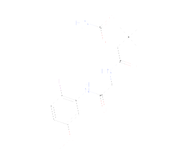 COc1ccc(I)c(NC(=O)[C@@H](C)NC(=O)[C@H](OC(N)=O)C(C)(C)C)c1